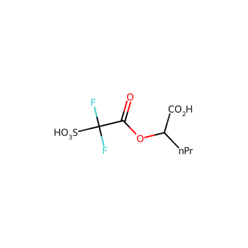 CCCC(OC(=O)C(F)(F)S(=O)(=O)O)C(=O)O